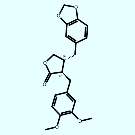 COc1ccc(C[C@H]2C(=O)OC[C@@H]2Cc2ccc3c(c2)OCO3)cc1OC